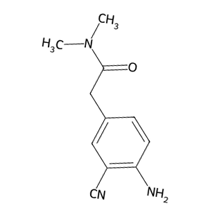 CN(C)C(=O)Cc1ccc(N)c(C#N)c1